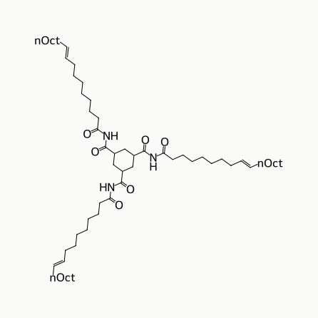 CCCCCCCCC=CCCCCCCCC(=O)NC(=O)C1CC(C(=O)NC(=O)CCCCCCCC=CCCCCCCCC)CC(C(=O)NC(=O)CCCCCCCC=CCCCCCCCC)C1